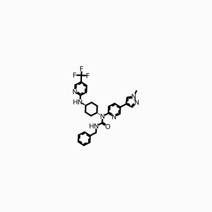 Cn1cc(-c2ccc(N(C(=O)NCc3ccccc3)[C@H]3CC[C@H](Nc4ccc(C(F)(F)F)cn4)CC3)nc2)cn1